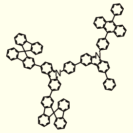 c1ccc(-c2ccc3c(c2)c2cc(-c4ccc(-n5c6ccc(-c7ccc8c(c7)C7(c9ccccc9-c9ccccc97)c7ccccc7-8)cc6c6cc(-c7ccc8c(c7)C7(c9ccccc9-c9ccccc97)c7ccccc7-8)ccc65)cc4)ccc2n3-c2ccc(-c3c4ccccc4c(-c4ccccc4)c4ccccc34)cc2)cc1